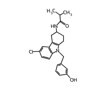 CC(C)C(=O)NC1CCc2c(c3cc(Cl)ccc3n2Cc2cccc(O)c2)C1